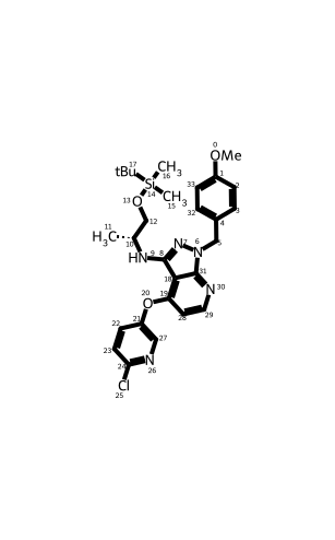 COc1ccc(Cn2nc(N[C@H](C)CO[Si](C)(C)C(C)(C)C)c3c(Oc4ccc(Cl)nc4)ccnc32)cc1